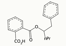 CCCC(Cc1ccccc1)OC(=O)c1ccccc1C(=O)O